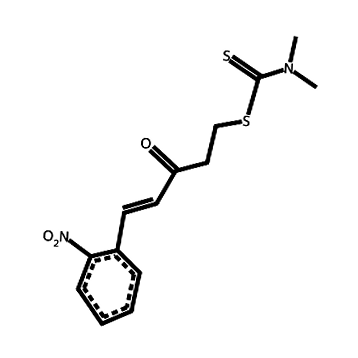 CN(C)C(=S)SCCC(=O)C=Cc1ccccc1[N+](=O)[O-]